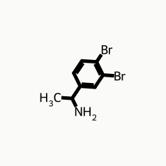 CC(N)c1ccc(Br)c(Br)c1